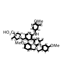 COc1ccc(CN(Cc2ccc(OC)cc2)c2nc(C)nc(-c3cc(CN4CCN(C(=O)O)C(C)C4)cnc3Nc3cnc(OC)c(F)c3)n2)cc1